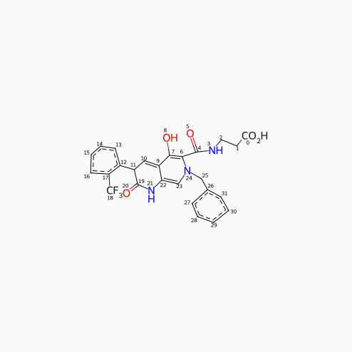 O=C(O)CCNC(=O)C1=C(O)C2=CC(c3ccccc3C(F)(F)F)C(=O)NC2=CN1Cc1ccccc1